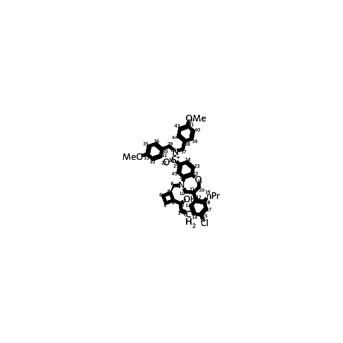 C=CC(O)C1CC[C@H]1CN1CC(c2ccc(Cl)cc2CCC)COc2ccc([S+]([O-])N(Cc3ccc(OC)cc3)Cc3ccc(OC)cc3)cc21